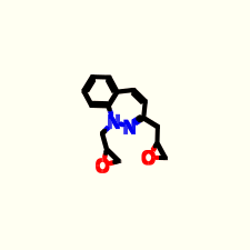 C1=Cc2ccccc2N(CC2CO2)N=C1CC1CO1